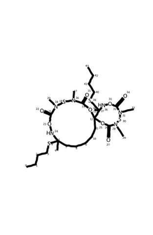 CCCCSC1(C)CCCCCC2(OC(=O)N(C)SN(C)C(=O)ON1)OC(=O)N(C)SN(C)C(=O)ONC2(C)SCCCC